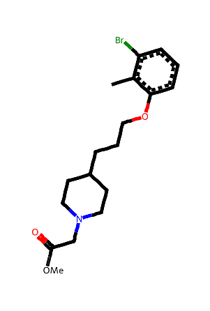 COC(=O)CN1CCC(CCCOc2cccc(Br)c2C)CC1